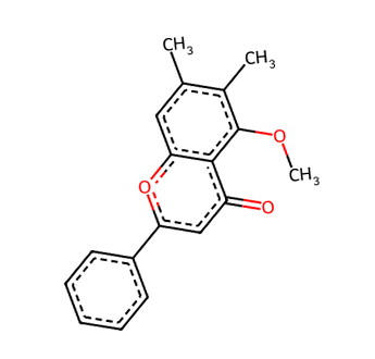 COc1c(C)c(C)cc2oc(-c3ccccc3)cc(=O)c12